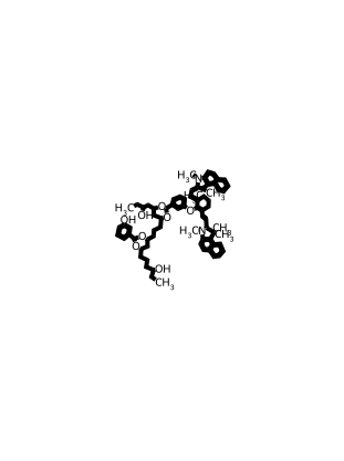 CCC(O)CCCC1CC(CCCC2CC(CC(O)CC)OC(c3cccc(OC4=C(/C=C/C5=[N+](C)c6ccc7ccccc7c6C5(C)C)CCC/C4=C\C=C4\N(C)c5ccc6ccccc6c5C4(C)C)c3)O2)OC(c2cccc(O)c2)O1